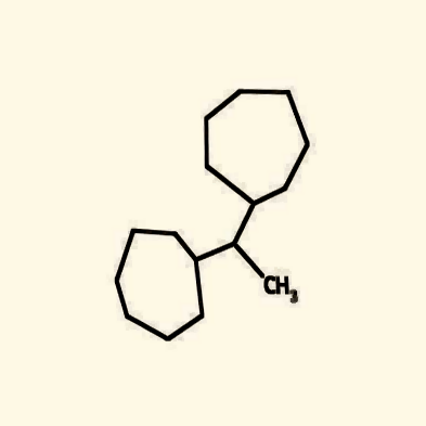 CC(C1CCCCCC1)C1CCCCCC1